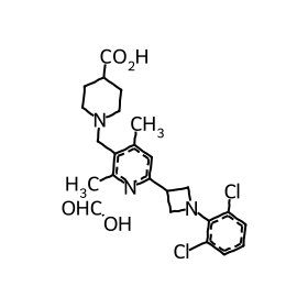 Cc1cc(C2CN(c3c(Cl)cccc3Cl)C2)nc(C)c1CN1CCC(C(=O)O)CC1.O=CO